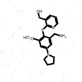 Cl.NCc1cc(N2CCCC2)cc(Cl)c1Sc1ncccc1CO